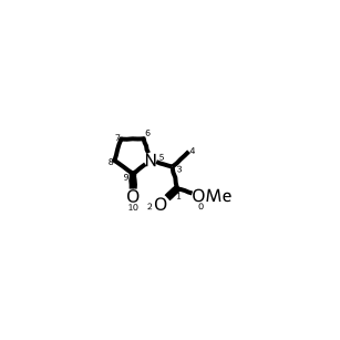 COC(=O)C(C)N1CCCC1=O